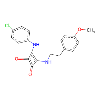 COc1ccc(CCNc2c(Nc3ccc(Cl)cc3)c(=O)c2=O)cc1